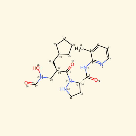 Cc1cccnc1NC(=O)[C@@H]1CCNN1C(=O)[C@H](CC1CCCC1)CN(O)C=O